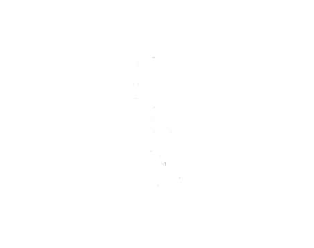 C=CC(CC)[C@H]1CC[C@H](C#Cc2ccc(CCC)cc2)CC1